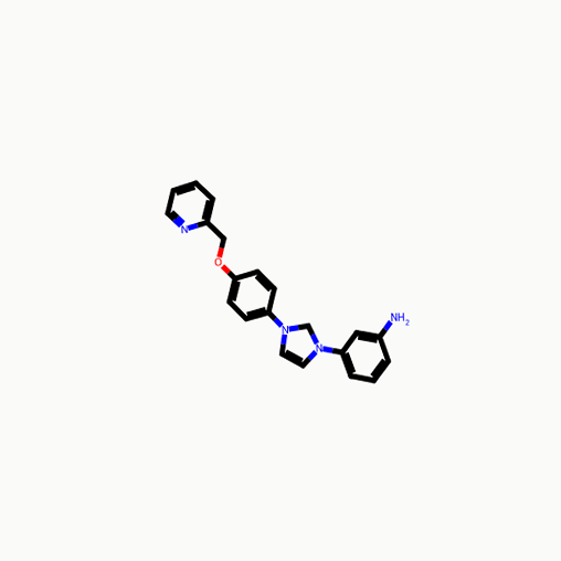 Nc1cccc(N2C=CN(c3ccc(OCc4ccccn4)cc3)C2)c1